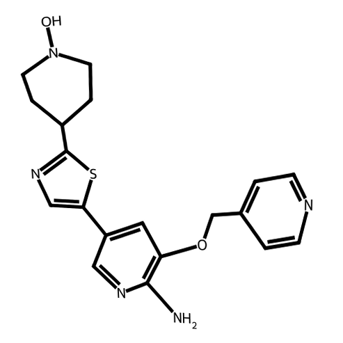 Nc1ncc(-c2cnc(C3CCN(O)CC3)s2)cc1OCc1ccncc1